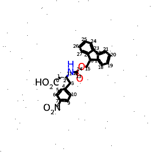 O=C(O)C[C@@H](Cc1ccc([N+](=O)[O-])cc1)NC(=O)OCC1c2ccccc2-c2ccccc21